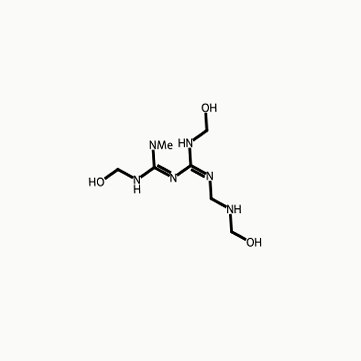 CN/C(=N\C(=N/CNCO)NCO)NCO